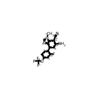 Cn1cnc2c(-c3ccc(OC(F)(F)F)cc3F)cc(N)c(C#N)c21